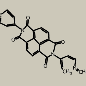 C=N/C=C\C(=C/C)N1C(=O)c2ccc3c4c(ccc(c24)C1=O)C(=O)N(c1ccncc1)C3=O